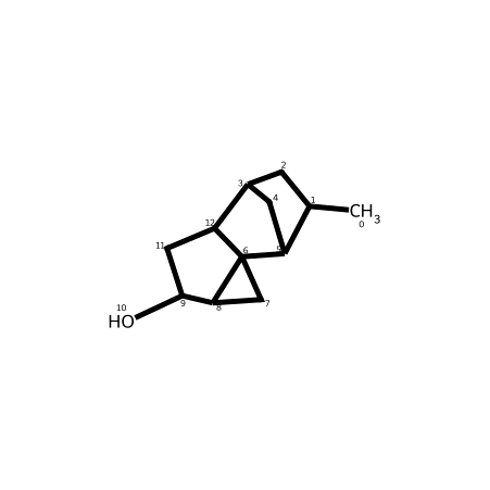 CC1CC2CC1C13CC1C(O)CC23